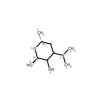 C[C@@H]1CC(N(C)C)C(O)[C@@H](O)O1